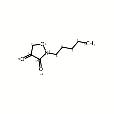 CCCCCN1OCC(=O)C1=O